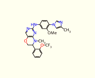 COc1cc(Nc2ncc3c(n2)N(C)C(c2ccccc2OC(F)(F)F)CO3)ccc1-n1cnc(C)c1